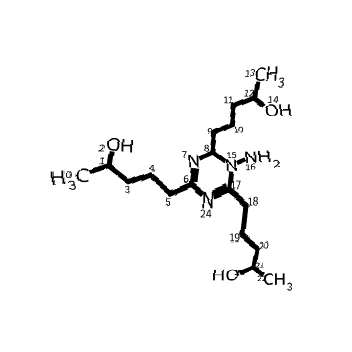 CC(O)CCCC1=NC(CCCC(C)O)N(N)C(CCCC(C)O)=N1